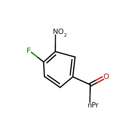 CCCC(=O)c1ccc(F)c([N+](=O)[O-])c1